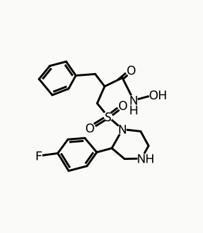 O=C(NO)C(Cc1ccccc1)CS(=O)(=O)N1CCNCC1c1ccc(F)cc1